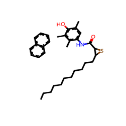 CCCCCCCCCCCC1SC1C(=O)Nc1cc(C)c(O)c(C)c1C.c1ccc2ccccc2c1